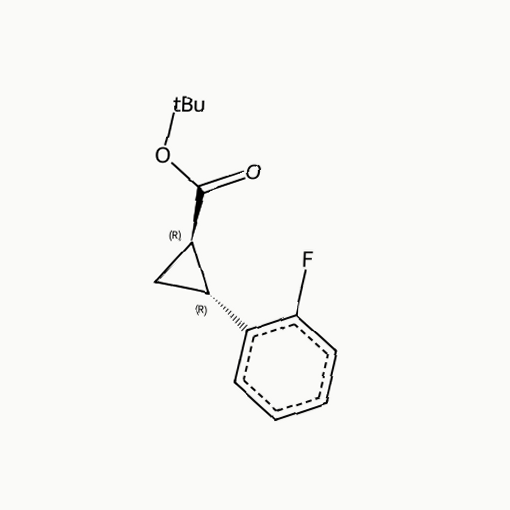 CC(C)(C)OC(=O)[C@@H]1C[C@H]1c1ccccc1F